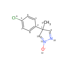 CC1(c2ccc(Cl)cc2)C=N[N+]([O-])=C1